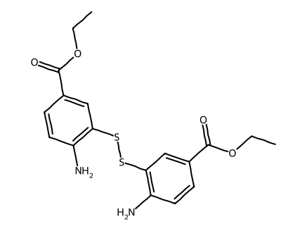 CCOC(=O)c1ccc(N)c(SSc2cc(C(=O)OCC)ccc2N)c1